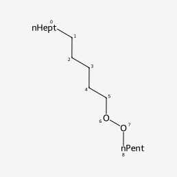 CCCCCCCCCCCCOOCCCCC